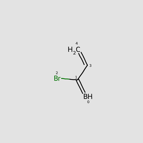 B=C(Br)C=C